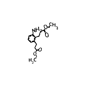 CCOC(=O)CCc1cccc(N)c1CCC(=O)OCC